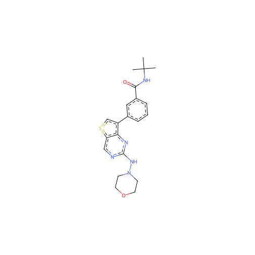 CC(C)(C)NC(=O)c1cccc(-c2csc3cnc(NN4CCOCC4)nc23)c1